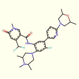 CC1CN(c2ccc(-c3cc(NC(=O)c4cn(C)c(=O)cc4C(F)F)c(N4CC(C)N(C)C(C)C4)cc3F)cn2)CC(C)O1